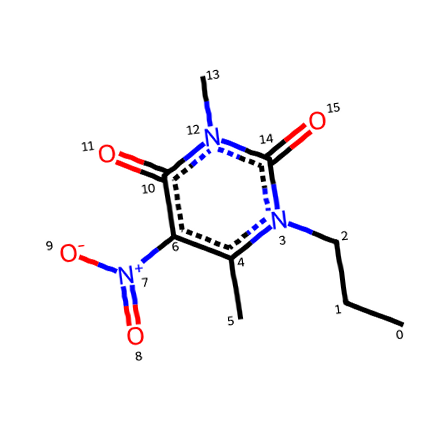 CCCn1c(C)c([N+](=O)[O-])c(=O)n(C)c1=O